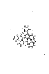 c1ccc(-c2cc3c(c(Nc4cccc5sc6ccccc6c45)c2-c2ccccc2)Cc2ccccc2-3)cc1